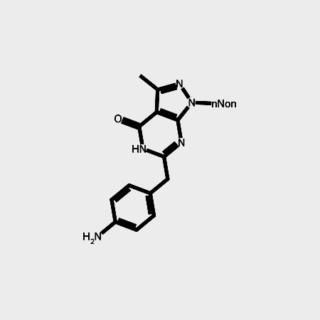 CCCCCCCCCn1nc(C)c2c(=O)[nH]c(Cc3ccc(N)cc3)nc21